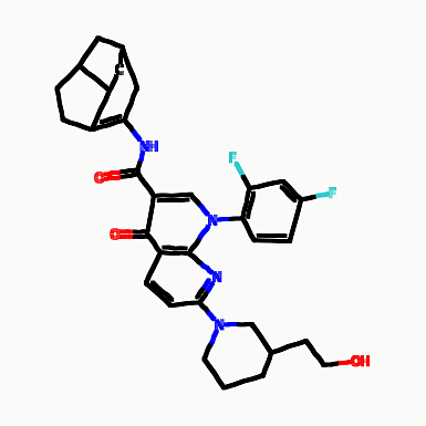 O=C(NC1=C2CCC3CC(C1)CC23)c1cn(-c2ccc(F)cc2F)c2nc(N3CCCC(CCO)C3)ccc2c1=O